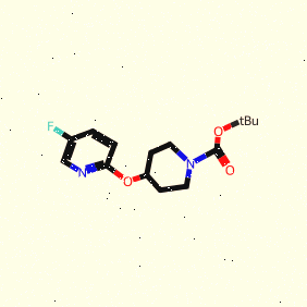 CC(C)(C)OC(=O)N1CCC(Oc2ccc(F)cn2)CC1